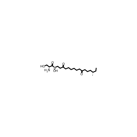 CC[C@H](C)CCCC(=O)CCCCCCC(=O)CCN(O)C(=O)[C@H](N)CO